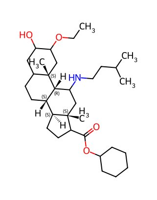 CCOC1C[C@@]2(C)C(CC[C@@H]3[C@H]2C(NCCC(C)C)C[C@]2(C)C(C(=O)OC4CCCCC4)CC[C@@H]32)CC1O